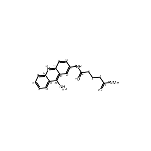 CNC(=O)CCCC(=O)Nc1ccc2nc3ccccc3c(N)c2c1